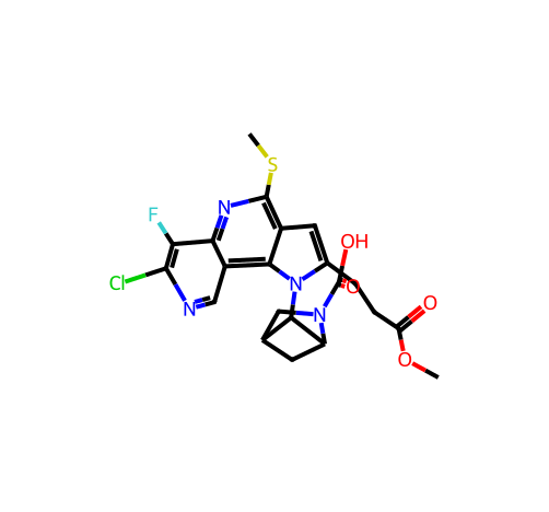 COC(=O)CCc1cc2c(SC)nc3c(F)c(Cl)ncc3c2n1C1C2CC1N(C(=O)O)C2